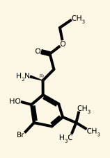 CCOC(=O)C[C@H](N)c1cc(C(C)(C)C)cc(Br)c1O